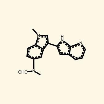 CN(C=O)c1ccc2c(c1)c(-c1cc3cccnc3[nH]1)cn2C